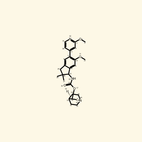 COc1cc(-c2cc3c(cc2OC)C(NC(=O)O[C@H]2CN4CCC2CC4)C(C)(C)C3)ccn1